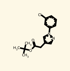 CC(C)(C)OC(=O)Cc1cnn(-c2cccc(Cl)c2)c1